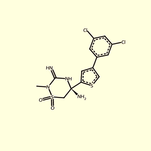 CN1C(=N)N[C@](N)(c2cc(-c3cc(Cl)cc(Cl)c3)cs2)CS1(=O)=O